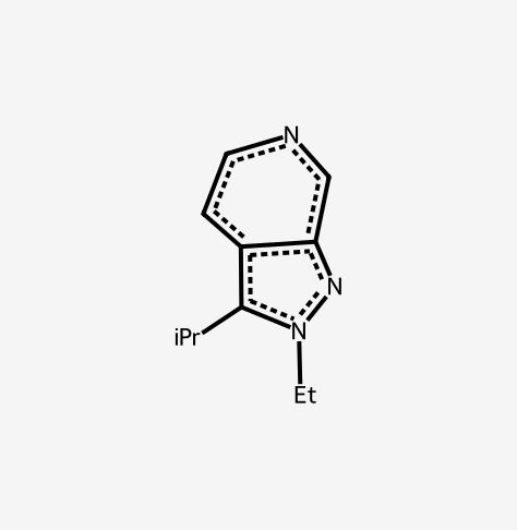 CCn1nc2cnccc2c1C(C)C